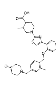 Cc1cc(CN2CC[S+]([O-])CC2)ccc1COc1ccccc1-c1csc(N2CCC(C(=O)O)C(C)C2)n1